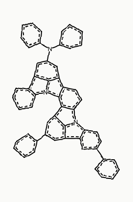 c1ccc(-c2ccc3c(c2)c2cc(-c4ccccc4)cc4c5c(ccc6c7cc(N(c8ccccc8)c8ccccc8)cc8c9ccccc9n(c87)c65)n3c24)cc1